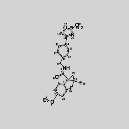 CCOc1ccc(C2(C(=O)NCc3ccc(-c4noc(C(F)(F)F)n4)cc3)CC2(F)F)cc1